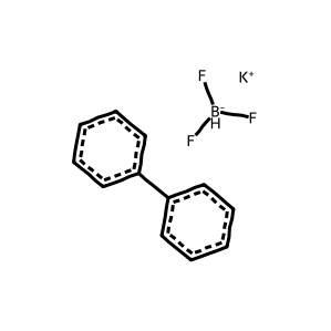 F[BH-](F)F.[K+].c1ccc(-c2ccccc2)cc1